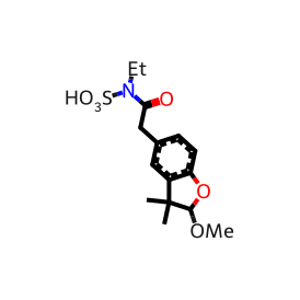 CCN(C(=O)Cc1ccc2c(c1)C(C)(C)C(OC)O2)S(=O)(=O)O